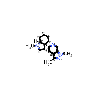 Cc1nn(C)c2cnc([C@@]34CCCC[C@@H]3N(C)CC4)cc12